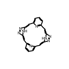 c1cc2cc3nnc(cc4cccc(cc5nnc(cc(c1)n2)[nH]5)n4)[nH]3